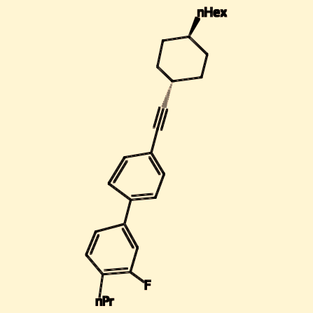 CCCCCC[C@H]1CC[C@H](C#Cc2ccc(-c3ccc(CCC)c(F)c3)cc2)CC1